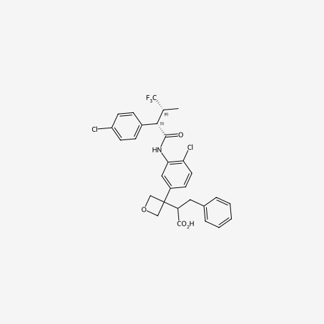 C[C@H]([C@H](C(=O)Nc1cc(C2(C(Cc3ccccc3)C(=O)O)COC2)ccc1Cl)c1ccc(Cl)cc1)C(F)(F)F